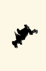 CCC(NCCS(C)(=O)=O)C1(c2cc3c(Nc4ccc(OCc5cccc(F)c5)c(Cl)c4)ncnc3cn2)CC=CO1